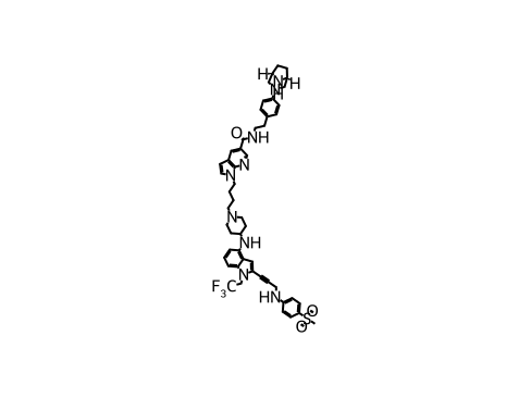 CS(=O)(=O)c1ccc(NCC#Cc2cc3c(NC4CCN(CCCCn5ccc6cc(C(=O)NCCc7ccc(N8C[C@H]9CC[C@@H](C8)N9)cc7)cnc65)CC4)cccc3n2CC(F)(F)F)cc1